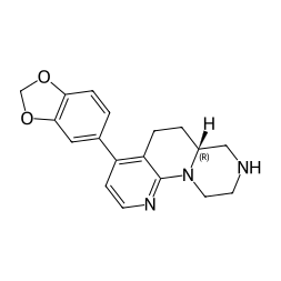 c1cc(-c2ccc3c(c2)OCO3)c2c(n1)N1CCNC[C@H]1CC2